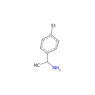 CCc1ccc(C(N)C#N)cc1